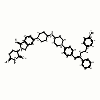 O=C1CCC(N2Cc3cc(N4CCC(NC5CCN(c6ccc(/C=C(\CCc7ccc(O)cc7)c7ccccc7)cc6)CC5)CC4)ccc3C2=O)C(=O)N1